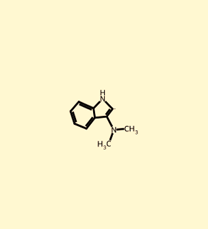 CN(C)c1[c][nH]c2ccccc12